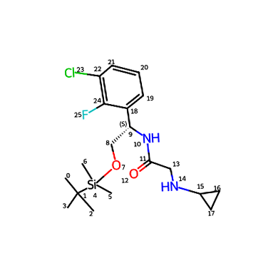 CC(C)(C)[Si](C)(C)OC[C@@H](NC(=O)CNC1CC1)c1cccc(Cl)c1F